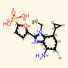 CC(C)Cn1c(-c2ccc(P(=O)(O)O)o2)nc2c(N)c(F)cc(C3CC3)c21